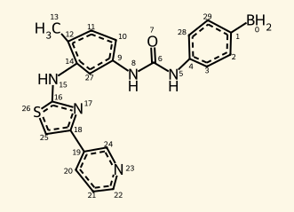 Bc1ccc(NC(=O)Nc2ccc(C)c(Nc3nc(-c4cccnc4)cs3)c2)cc1